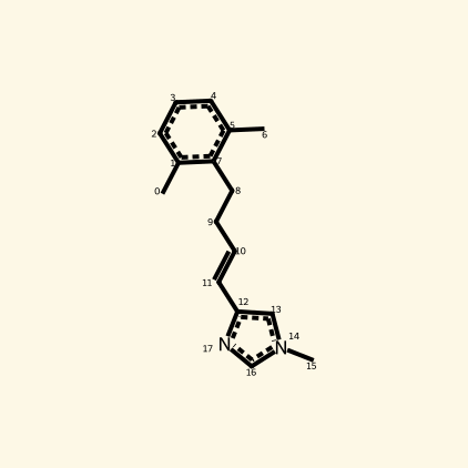 Cc1cccc(C)c1CCC=Cc1cn(C)cn1